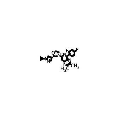 Cc1nc2cc(N3CCO[C@@H](c4cnn(C5CC5)c4)C3)nc(-c3ccc(F)cc3F)c2nc1C